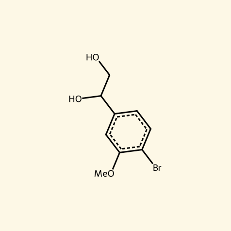 COc1cc(C(O)CO)ccc1Br